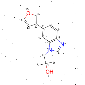 CC(C)(O)Cn1cnc2ccc(-c3ccoc3)cc21